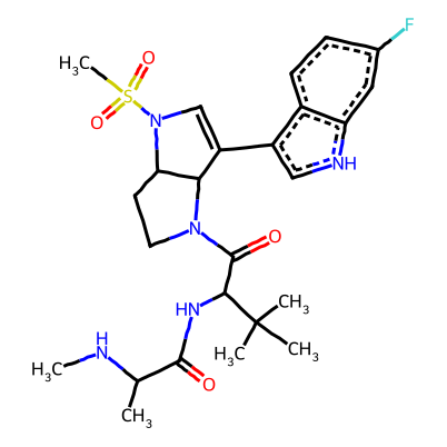 CNC(C)C(=O)NC(C(=O)N1CCC2C1C(c1c[nH]c3cc(F)ccc13)=CN2S(C)(=O)=O)C(C)(C)C